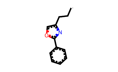 [CH2]CCc1coc(-c2ccccc2)n1